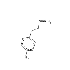 C=CCCc1ccc(C(C)(C)C)cc1